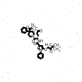 CC(=O)CC[C@H](NC(=O)c1cc(OCC(=O)C(C)(C)C)n(-c2ccccc2)n1)C(=O)N1CCC(C(C)=O)(c2ccccc2)CC1